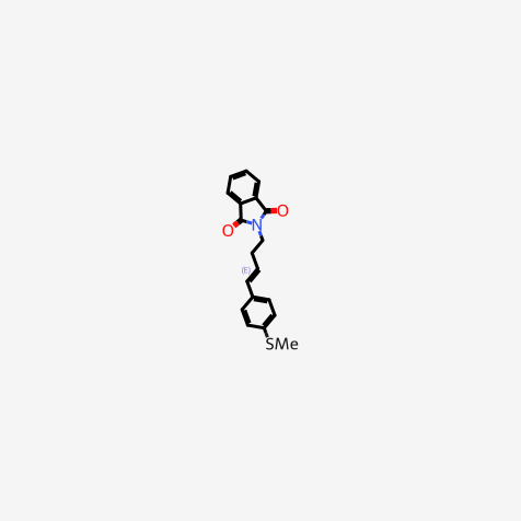 CSc1ccc(/C=C/CCN2C(=O)c3ccccc3C2=O)cc1